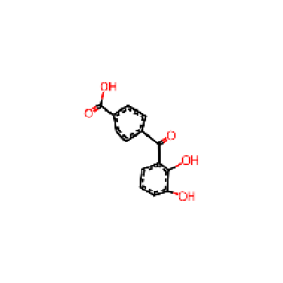 O=C(O)c1ccc(C(=O)c2cccc(O)c2O)cc1